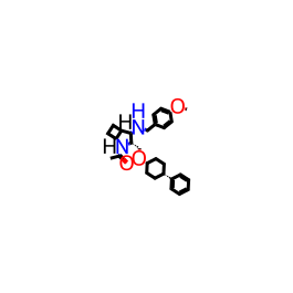 COc1ccc(CNC2[C@H]3CC[C@H]3N(C(C)=O)[C@H]2CO[C@H]2CC[C@@H](c3ccccc3)CC2)cc1